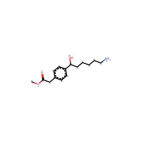 COC(=O)Cc1ccc(C(O)CCCCCN)cc1